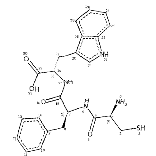 N[C@@H](CS)C(=O)N[C@@H](Cc1ccccc1)C(=O)N[C@@H](Cc1c[nH]c2ccccc12)C(=O)O